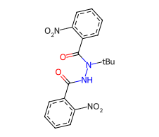 CC(C)(C)N(NC(=O)c1ccccc1[N+](=O)[O-])C(=O)c1ccccc1[N+](=O)[O-]